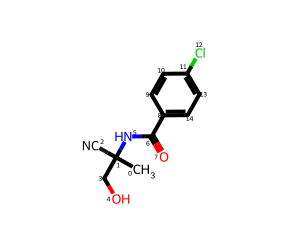 CC(C#N)(CO)NC(=O)c1ccc(Cl)cc1